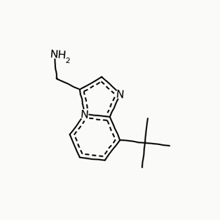 CC(C)(C)c1cccn2c(CN)cnc12